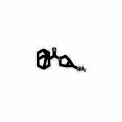 NC1C2CN(C(=O)C34CC5CC(CC(C5)C3)C4)CC12